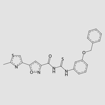 Cc1nc(-c2cc(C(=O)NC(=S)Nc3cccc(OCc4ccccc4)c3)no2)cs1